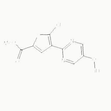 COC(=O)c1cc(-c2ncc(OC(C)C)cn2)c(C)s1